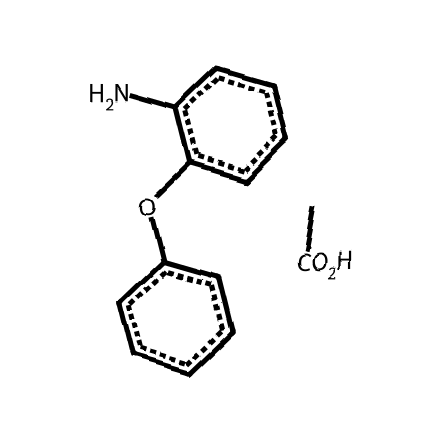 CC(=O)O.Nc1ccccc1Oc1ccccc1